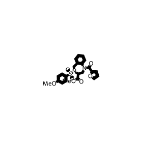 COC(=O)C1CN(C(=O)c2ccco2)c2ccccc2CN1S(=O)(=O)c1ccc(OC)cc1